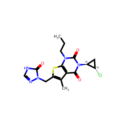 CCCn1c(=O)n([C@H]2C[C@@H]2Cl)c(=O)c2c(C)c(Cn3nc[nH]c3=O)sc21